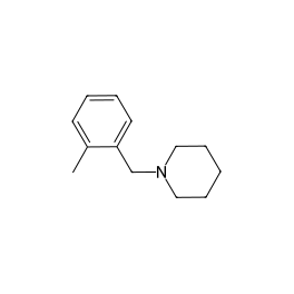 Cc1ccccc1CN1CCCCC1